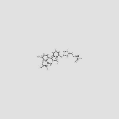 CC(=O)NCCN1CCC(Cc2cncc3c2c(C)cn3-c2ccc(F)cc2C(=O)N(C)C(C)C)C1